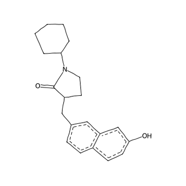 O=C1C(Cc2ccc3ccc(O)cc3c2)CCN1C1CCCCC1